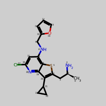 C[C@H](N)Cc1sc2c(NCc3ccco3)cc(Cl)nc2c1C1CC1